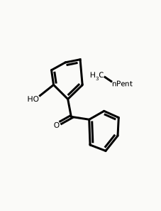 CCCCCC.O=C(c1ccccc1)c1ccccc1O